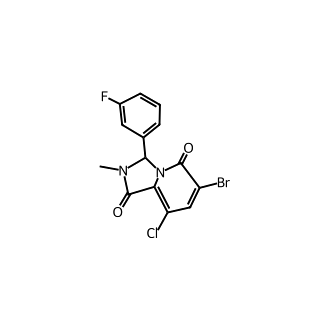 CN1C(=O)c2c(Cl)cc(Br)c(=O)n2C1c1cccc(F)c1